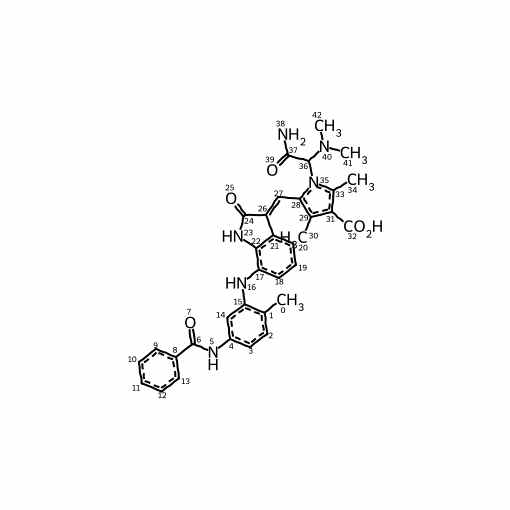 Cc1ccc(NC(=O)c2ccccc2)cc1Nc1cccc2c1NC(=O)C2=Cc1c(C)c(C(=O)O)c(C)n1C(C(N)=O)N(C)C